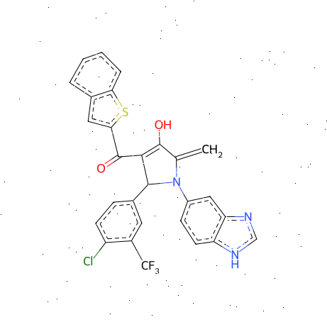 C=C1C(O)=C(C(=O)c2cc3ccccc3s2)C(c2ccc(Cl)c(C(F)(F)F)c2)N1c1ccc2[nH]cnc2c1